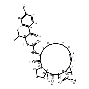 CC(C)[C@H](NC(=O)N[C@H]1CCCCC/C=C\C2C[C@@]2(C(=O)O)NC(=O)[C@@H]2CCCN2C1=O)C(=O)c1ccc(F)cc1